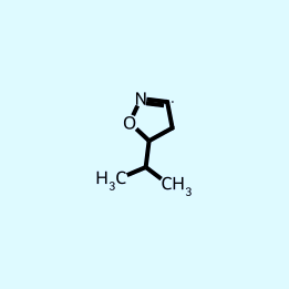 CC(C)C1C[C]=NO1